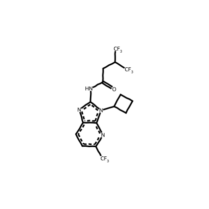 O=C(CC(C(F)(F)F)C(F)(F)F)Nc1nc2ccc(C(F)(F)F)nc2n1C1CCC1